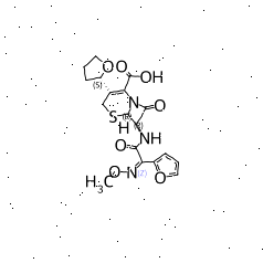 CO/N=C(\C(=O)N[C@@H]1C(=O)N2C(C(=O)O)=C([C@@H]3CCCO3)CS[C@H]12)c1ccco1